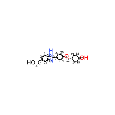 O=C(O)c1ccc2[nH]c(-c3ccc(OC[C@H]4CC[C@H](O)CC4)cc3)nc2c1